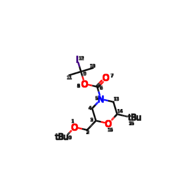 CC(C)(C)OCC1CN(C(=O)OC(C)(C)I)CC(C(C)(C)C)O1